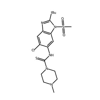 CN1CCN(C(=S)Nc2cc3c(cc2Cl)nc(C(C)(C)C)n3S(C)(=O)=O)CC1